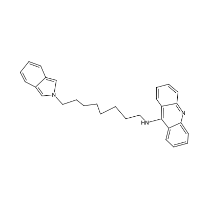 c1ccc2cn(CCCCCCCCNc3c4ccccc4nc4ccccc34)cc2c1